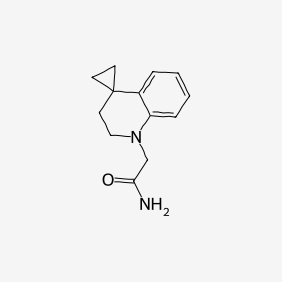 NC(=O)CN1CCC2(CC2)c2ccccc21